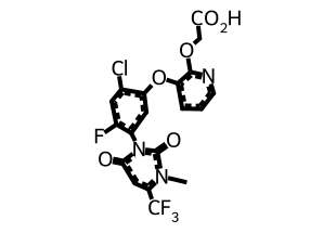 Cn1c(C(F)(F)F)cc(=O)n(-c2cc(Oc3cccnc3OCC(=O)O)c(Cl)cc2F)c1=O